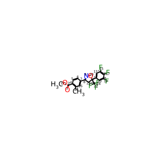 COC(=O)c1ccc(C2=NOC(c3cc(F)c(F)c(F)c3)(C(F)(F)F)C2)cc1C